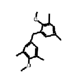 COc1c(C)cc(Cc2cc(C)cc(C)c2OC)cc1C